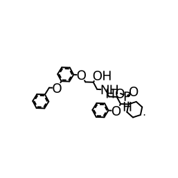 O=[PH](O)C1(C(CCNCC(O)COc2cccc(OCc3ccccc3)c2)Oc2ccccc2)CC[CH]CC1